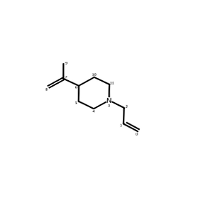 C=CCN1CCC(C(=C)C)CC1